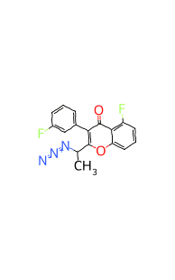 CC(N=[N+]=[N-])c1oc2cccc(F)c2c(=O)c1-c1cccc(F)c1